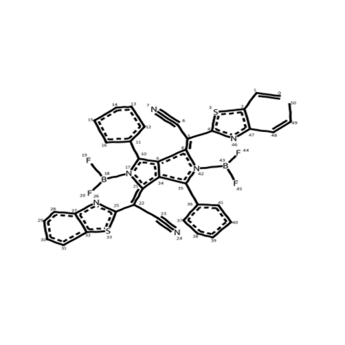 C=Cc1sc(/C(C#N)=c2/c3c(-c4ccccc4)n(B(F)F)/c(=C(/C#N)c4nc5ccccc5s4)c3c(-c3ccccc3)n2B(F)F)nc1/C=C\C